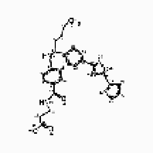 CCCCC(Nc1ccc(C(=O)NCCC(=O)O)cc1)c1ccc(-c2noc(-c3cccs3)n2)cc1